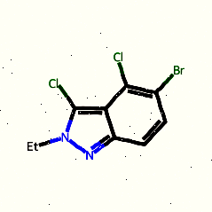 CCn1nc2ccc(Br)c(Cl)c2c1Cl